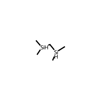 C[SiH](C)C[SiH](C)C